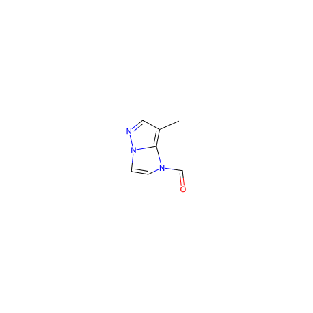 Cc1cnn2ccn(C=O)c12